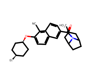 CC[C@H]1CC[C@@H](Oc2ccc3cc(C(=O)N4C5CCC4CC(C(=O)O)C5)ccc3c2C#N)CC1